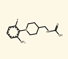 Nc1cccc(F)c1N1CCC(CNC(=O)O)CC1